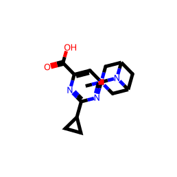 CN1CC2CC(C1)N2c1cc(C(=O)O)nc(C2CC2)n1